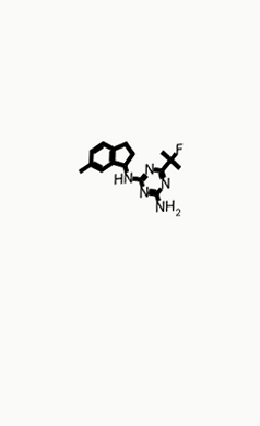 Cc1ccc2c(c1)C(Nc1nc(N)nc(C(C)(C)F)n1)CC2